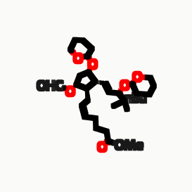 CCCCC(C)(C)[C@@H](/C=C/[C@@H]1[C@@H](C/C=C\CCCC(=O)OC)[C@H](OC=O)C[C@H]1OC1CCCCO1)OC1CCCCO1